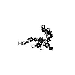 Cc1nn([C@H](C)c2ccc(Cl)cc2Cl)c2nc(N3CC([C@@H]4CC(C[C@H](c5ccc(Cl)cc5Cl)n5nc(C)c6ncc(N7CC([C@H]8CCCN(CCCO)C8)C7)nc65)CN([C@H]5C[C@@H](C)C5)C4)C3)cnc12